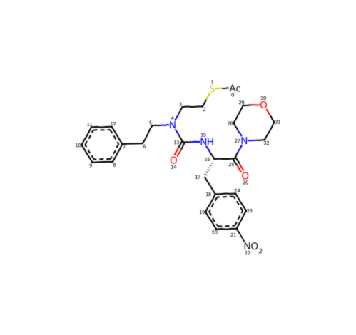 CC(=O)SCCN(CCc1ccccc1)C(=O)N[C@@H](Cc1ccc([N+](=O)[O-])cc1)C(=O)N1CCOCC1